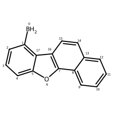 Bc1cccc2oc3c4ccccc4ccc3c12